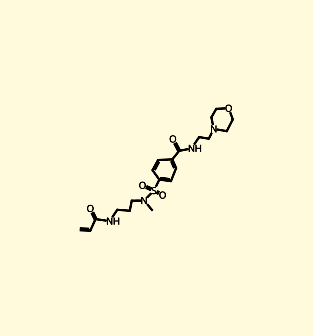 C=CC(=O)NCCCN(C)S(=O)(=O)c1ccc(C(=O)NCCN2CCOCC2)cc1